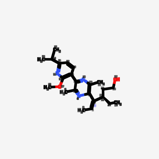 C/C=C(\c1nc(C)c(-c2ccc(C(C)C)nc2OC)nc1C)[C@H](CC)CCO